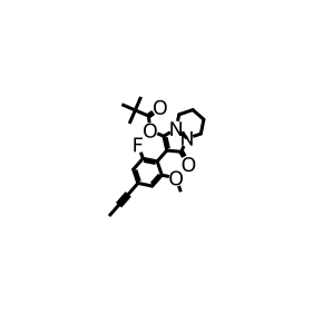 CC#Cc1cc(F)c(-c2c(OC(=O)C(C)(C)C)n3n(c2=O)CCCC3)c(OC)c1